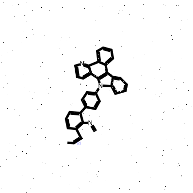 C=Nc1c(/C=C\C)cccc1-c1ccc(-n2c3ccccc3c3c4ccccc4c4ncccc4c32)cc1